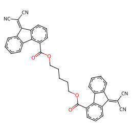 N#CC(C#N)=C1c2ccccc2-c2c(C(=O)OCCCCCOC(=O)c3cccc4c3-c3ccccc3C4=C(C#N)C#N)cccc21